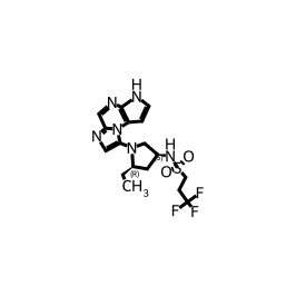 CC[C@@H]1C[C@H](NS(=O)(=O)CCC(F)(F)F)CN1c1cnc2cnc3[nH]ccc3n12